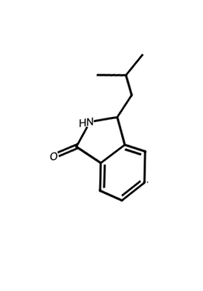 CC(C)CC1NC(=O)c2cc[c]cc21